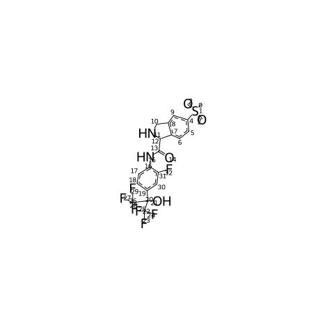 CS(=O)(=O)c1ccc2c(c1)CNC2C(=O)Nc1ccc(C(O)(C(F)(F)F)C(F)(F)F)cc1F